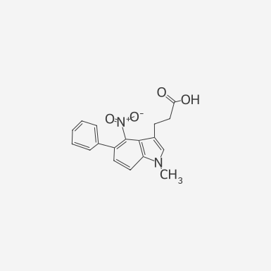 Cn1cc(CCC(=O)O)c2c([N+](=O)[O-])c(-c3ccccc3)ccc21